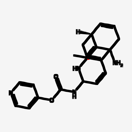 C/C=C1\[C@@H]2C=CCC1(N)C1=C(C2)NC(NC(=O)Oc2ccncc2)C=C1